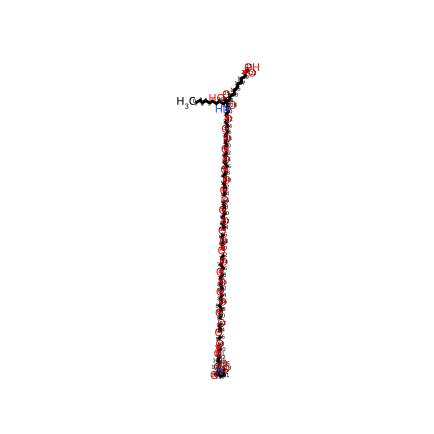 CCCCCCCCCCC(CCCCCCCCCCC(=O)O)(C(=O)O)C(=O)NCCOCCOCCOCCOCCOCCOCCOCCOCCOCCOCCOCCOCCOCCOCCOCCOCCOCCOCCOCCOCCOCCOCCOCCOCCC(=O)ON1C(=O)CCC1=O